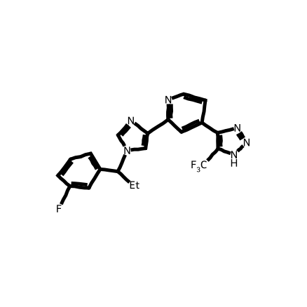 CCC(c1cccc(F)c1)n1cnc(-c2cc(-c3nn[nH]c3C(F)(F)F)ccn2)c1